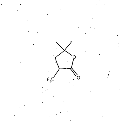 CC1(C)CC(C(F)(F)F)C(=O)O1